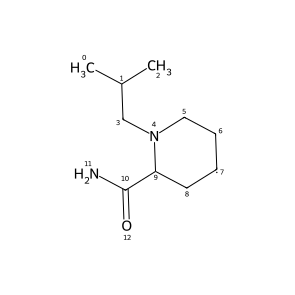 CC(C)CN1CC[CH]CC1C(N)=O